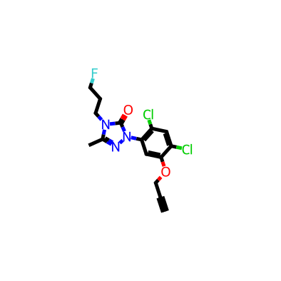 C#CCOc1cc(-n2nc(C)n(CCCF)c2=O)c(Cl)cc1Cl